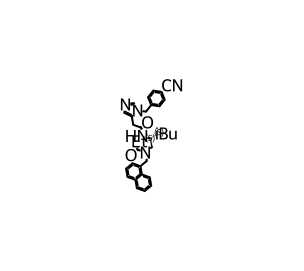 CCC(=O)N(Cc1cccc2ccccc12)C[C@@H](NC(=O)Cc1cncn1Cc1ccc(C#N)cc1)[C@@H](C)CC